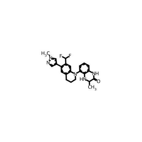 CC1Nc2c(cccc2N2CCCc3cc(-c4cnn(C)c4)c(C(F)F)cc32)NC1=O